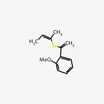 C=C(S/C(C)=C\C)c1ccccc1OC